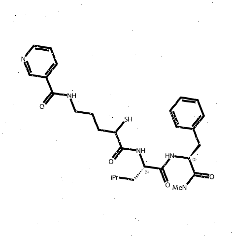 CNC(=O)[C@H](Cc1ccccc1)NC(=O)[C@H](CC(C)C)NC(=O)C(S)CCCNC(=O)c1cccnc1